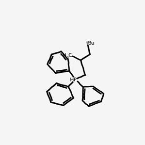 CC(CC(C)(C)C)C[PH](c1ccccc1)(c1ccccc1)c1ccccc1